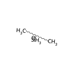 CCCCCCCCCC(CCCCCCCC)CO[SiH3]